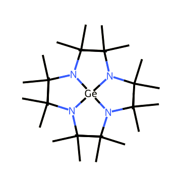 CC(C)(C)[N](C(C)(C)C)[Ge]([N](C(C)(C)C)C(C)(C)C)([N](C(C)(C)C)C(C)(C)C)[N](C(C)(C)C)C(C)(C)C